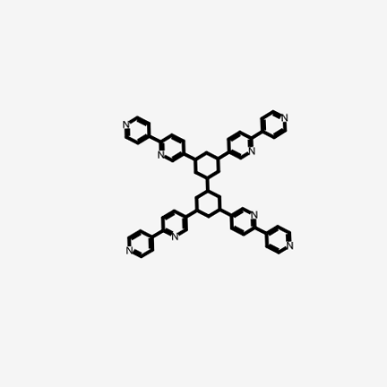 c1cc(-c2ccc(C3CC(c4ccc(-c5ccncc5)nc4)CC(C4CC(c5ccc(-c6ccncc6)nc5)CC(c5ccc(-c6ccncc6)nc5)C4)C3)cn2)ccn1